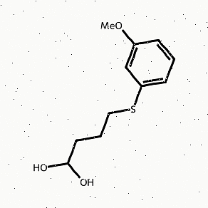 COc1cccc(SCCCC(O)O)c1